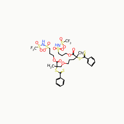 CC(CCCOCC(C)(SC(=S)c1ccccc1)C(=O)OCCCS(=O)(=O)NS(=O)(=O)C(F)(F)F)(SC(=S)c1ccccc1)C(=O)OCCCS(=O)(=O)NS(=O)(=O)C(F)(F)F